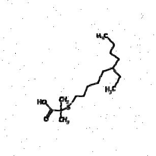 CCCCC(CC)CCCCCSC(C)(C)C(=O)O